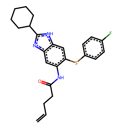 C=CCCC(=O)Nc1cc2nc(C3CCCCC3)[nH]c2cc1Sc1ccc(F)cc1